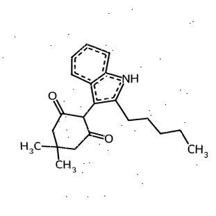 CCCCCc1[nH]c2ccccc2c1C1C(=O)CC(C)(C)CC1=O